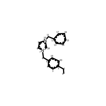 CCc1ccc(C[n+]2ccn(Cc3ccccc3)c2)cc1